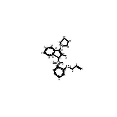 C=CCOc1ccccc1[Si](C)(C)C1C(C)=C(N2CCCC2)c2ccccc21